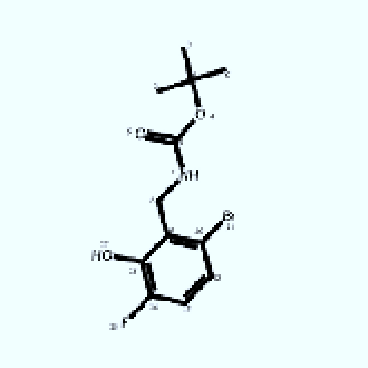 CC(C)(C)OC(=O)NCc1c(Br)ccc(F)c1O